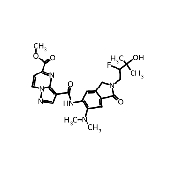 COC(=O)c1ccn2ncc(C(=O)Nc3cc4c(cc3N(C)C)C(=O)N(CC(F)C(C)(C)O)C4)c2n1